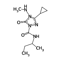 CCC(C)NC(=O)n1nc(C2CC2)n(NC)c1=O